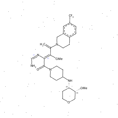 C=C(/C(OC)=C(\N=C/N)C(=O)N1CCC(N[C@H]2CCOC[C@H]2OC)CC1)N1CCc2ccc(C(F)(F)F)cc2C1